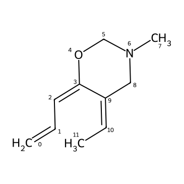 C=C/C=C1/OCN(C)C/C1=C/C